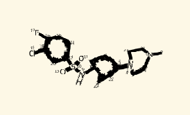 CN1CCN(c2ccc(NS(=O)(=O)c3ccc(F)c(Cl)c3)cc2)CC1